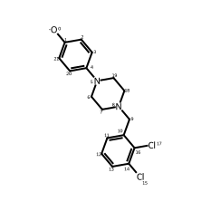 [O]c1ccc(N2CCN(Cc3cccc(Cl)c3Cl)CC2)cc1